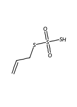 C=CCSS(=O)(=O)S